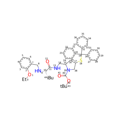 CCOc1ccccc1CN[C@H](C(=O)NCC1CC(SC(c2ccccc2)(c2ccccc2)c2ccccc2)CN1C(=O)OC(C)(C)C)[C@@H](C)CC